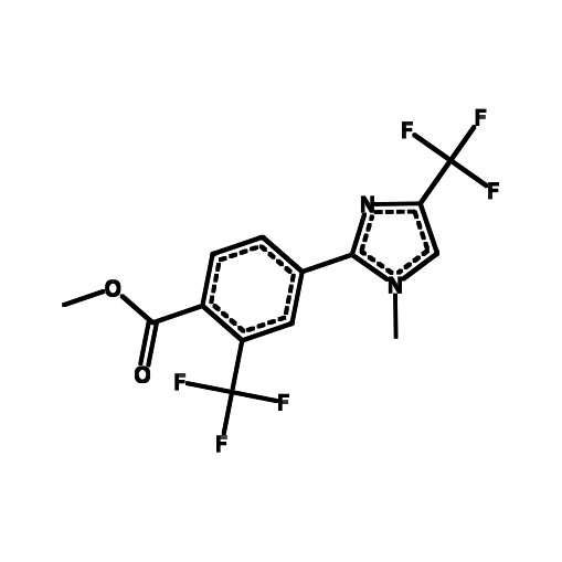 COC(=O)c1ccc(-c2nc(C(F)(F)F)cn2C)cc1C(F)(F)F